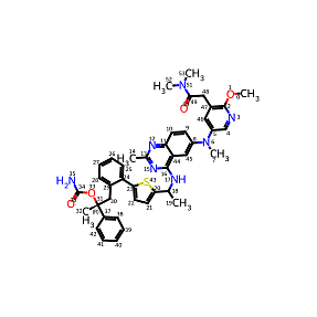 COc1ncc(N(C)c2ccc3nc(C)nc(NC(C)c4ccc(-c5ccccc5C[C@@](C)(OC(N)=O)c5ccccc5)s4)c3c2)cc1CC(=O)N(C)C